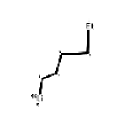 [46Li][CH2]CCCCC